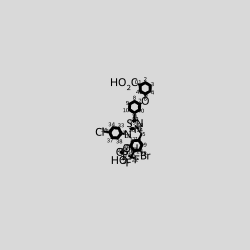 O=C(O)c1cccc(Oc2cccc(-c3nn(Cc4ccc(C(F)(F)P(=O)(O)O)c(Br)c4)c(=Nc4ccc(Cl)cc4)s3)c2)c1